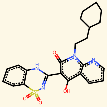 O=c1c(C2=NS(=O)(=O)c3ccccc3N2)c(O)c2cccnc2n1CCC1CCCCC1